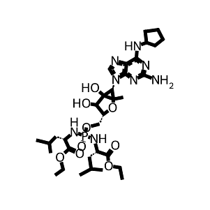 CCOC(=O)[C@H](CC(C)C)NP(=O)(N[C@@H](CC(C)C)C(=O)OCC)OC[C@H]1OC2(C)[C@@H](n3cnc4c(NC5CCCC5)nc(N)nc43)C2(O)C1O